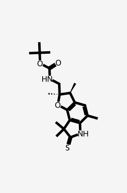 Cc1cc2c(c3c1NC(=S)C3(C)C)O[C@@](C)(CNC(=O)OC(C)(C)C)[C@H]2C